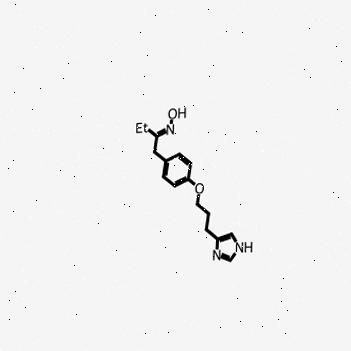 CCC(Cc1ccc(OCCCc2c[nH]cn2)cc1)=NO